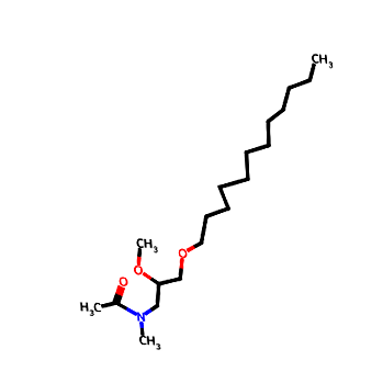 CCCCCCCCCCCCOCC(CN(C)C(C)=O)OC